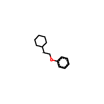 [CH](COc1ccccc1)C1CCCCC1